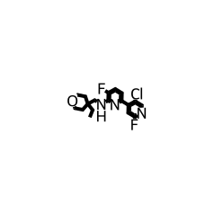 CCC1(CNc2nc(-c3cc(F)ncc3Cl)ccc2F)CCOCC1